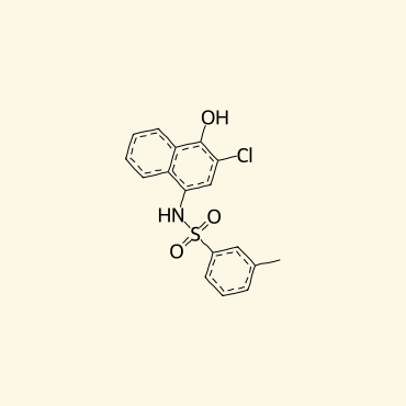 Cc1cccc(S(=O)(=O)Nc2cc(Cl)c(O)c3ccccc23)c1